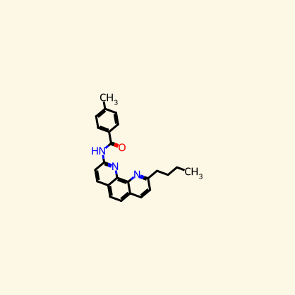 CCCCc1ccc2ccc3ccc(NC(=O)c4ccc(C)cc4)nc3c2n1